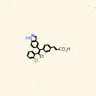 CCC(=C(c1ccc(C=CC(=O)O)cc1)c1ccc2[nH]ncc2c1)c1ccccc1Cl